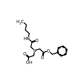 CCCCNC(=O)CN(CC(=O)O)CC(=O)OCc1ccccc1